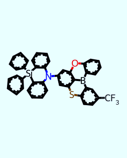 FC(F)(F)c1ccc2c(c1)B1c3ccccc3Oc3cc(N4c5ccccc5[Si](c5ccccc5)(c5ccccc5)c5ccccc54)cc(c31)S2